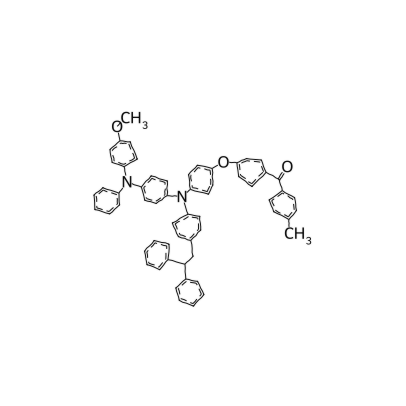 COc1ccc(N(c2ccccc2)c2ccc(N(c3ccc(CC(c4ccccc4)c4ccccc4)cc3)c3ccc(Oc4ccc(C(=O)c5ccc(C)cc5)cc4)cc3)cc2)cc1